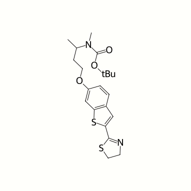 CC(CCOc1ccc2cc(C3=NCCS3)sc2c1)N(C)C(=O)OC(C)(C)C